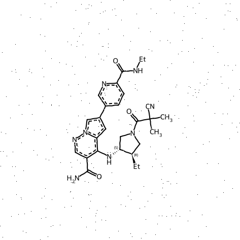 CCNC(=O)c1ccc(-c2cc3c(N[C@@H]4CN(C(=O)C(C)(C)C#N)C[C@H]4CC)c(C(N)=O)cnn3c2)cn1